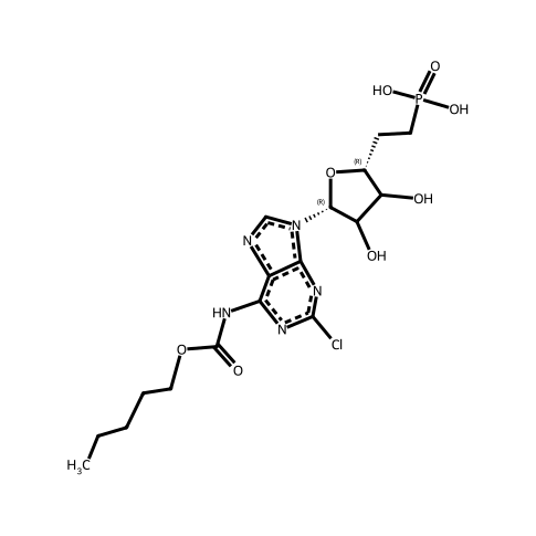 CCCCCOC(=O)Nc1nc(Cl)nc2c1ncn2[C@@H]1O[C@H](CCP(=O)(O)O)C(O)C1O